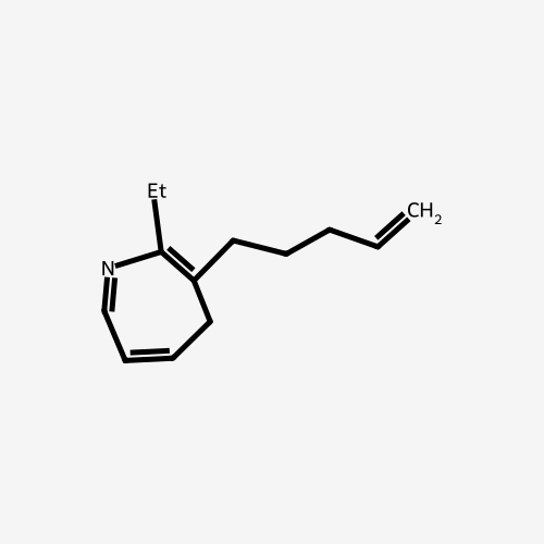 C=CCCCC1=C(CC)N=CC=CC1